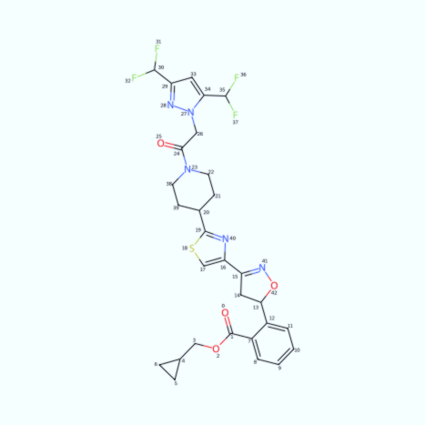 O=C(OCC1CC1)c1ccccc1C1CC(c2csc(C3CCN(C(=O)Cn4nc(C(F)F)cc4C(F)F)CC3)n2)=NO1